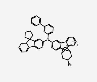 CCC1CC2CC[C@H](C)C(C1)C21c2ccccc2-c2cc(N(c3cccc(-c4ccccc4)c3)c3ccc4c(c3)C3(CCCC3)c3ccccc3-4)ccc21